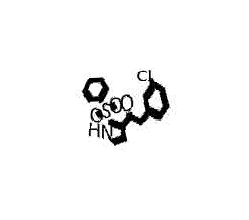 O=C(Cc1cccc(Cl)c1)c1cc[nH]c1S(=O)(=O)c1ccccc1